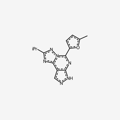 Cc1ccc(-c2nc3[nH]ncc3c3nc(C(C)C)nn23)o1